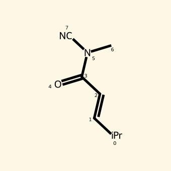 CC(C)C=CC(=O)N(C)C#N